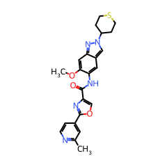 COc1cc2nn(C3CCSCC3)cc2cc1NC(=O)c1coc(-c2ccnc(C)c2)n1